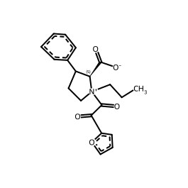 CCC[N+]1(C(=O)C(=O)c2ccco2)CCC(c2ccccc2)[C@H]1C(=O)[O-]